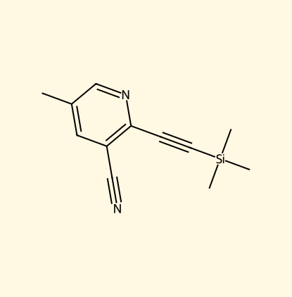 Cc1cnc(C#C[Si](C)(C)C)c(C#N)c1